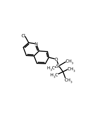 CC(C)(C)[Si](C)(C)Oc1ccc2ccc(Cl)nc2c1